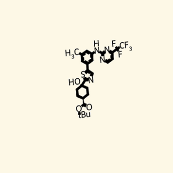 Cc1cc(Nc2nccc(C(F)(F)C(F)(F)F)n2)cc(-c2cnc([C@]3(O)CC[C@@H](C(=O)OC(C)(C)C)CC3)s2)c1